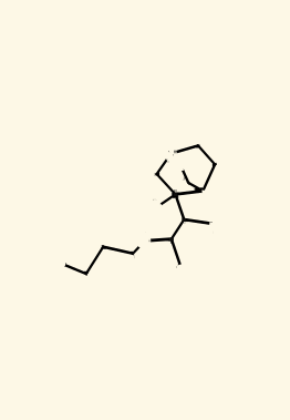 CCCCOC(C)C(S)C1(O)CN2CCC1CC2